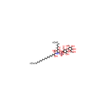 CCCCCCCCCCCCCCCCCCCCCCCCC(O)C(=O)NC(COP(=O)(O)OC1C(O)C(O)C(OC2OC(CO)C(O)C(O)C2O)C(O)C1O)C(O)C(O)CCCCCCCCCCCCCC